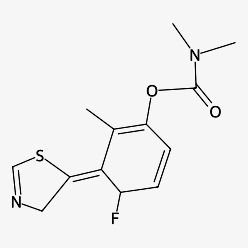 CC1=C(OC(=O)N(C)C)C=CC(F)C1=C1CN=CS1